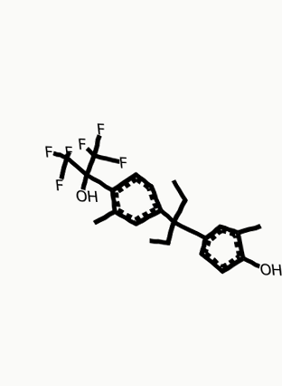 CCC(CC)(c1ccc(O)c(C)c1)c1ccc(C(O)(C(F)(F)F)C(F)(F)F)c(C)c1